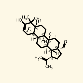 C=C(C)[C@@H]1CC[C@]2(C=O)CC[C@]3(C)[C@H](CC[C@@H]4[C@@]5(C)CC=C(O)C(C)(C)[C@@H]5CC[C@]43C)[C@@H]12